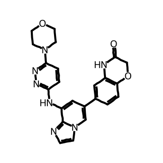 O=C1COc2ccc(-c3cc(Nc4ccc(N5CCOCC5)nn4)c4nccn4c3)cc2N1